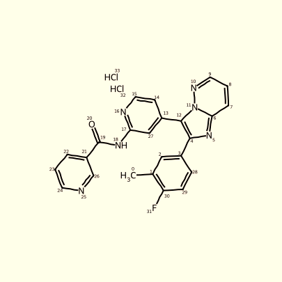 Cc1cc(-c2nc3cccnn3c2-c2ccnc(NC(=O)c3cccnc3)c2)ccc1F.Cl.Cl